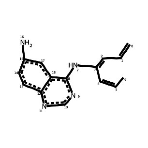 C=C/C=C(\C=C/C)Nc1ncnc2ccc(N)cc12